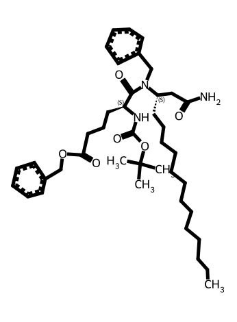 CCCCCCCCCCCCC[C@@H](CC(N)=O)N(Cc1ccccc1)C(=O)[C@H](CCCC(=O)OCc1ccccc1)NC(=O)OC(C)(C)C